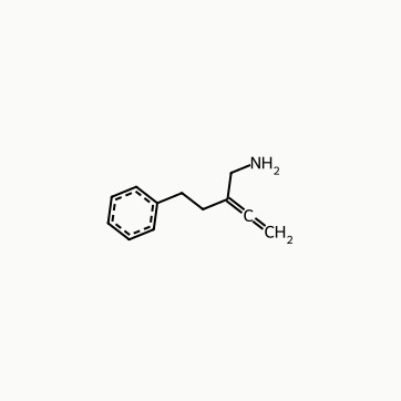 C=C=C(CN)CCc1ccccc1